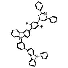 Fc1cc(-c2cc(-c3ccccc3)nc(-c3ccccc3)n2)c(F)cc1-c1ccc2c(c1)c1ccccc1n2-c1cccc(-c2ccc3c(c2)c2ccccc2n3-c2ccccc2)c1